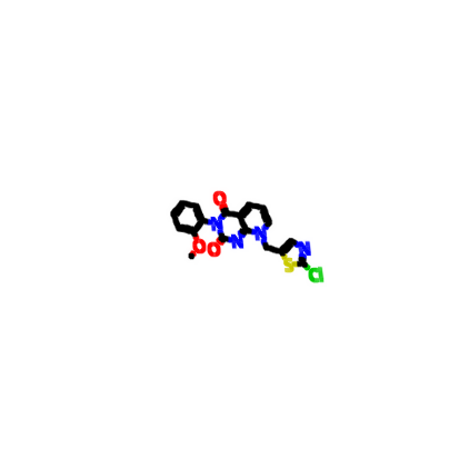 COc1ccccc1-n1c(=O)nc2n(Cc3cnc(Cl)s3)cccc-2c1=O